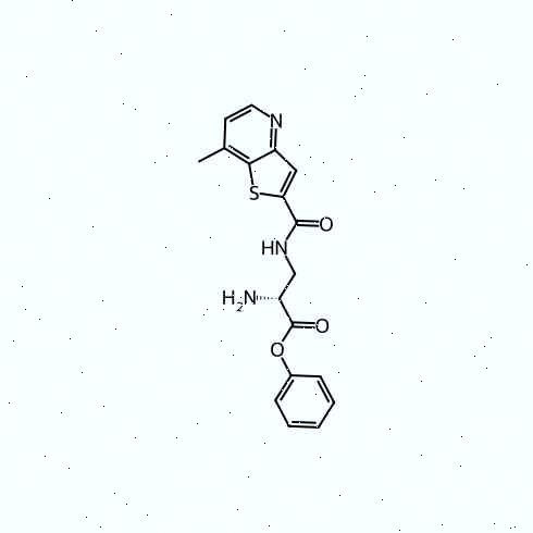 Cc1ccnc2cc(C(=O)NC[C@@H](N)C(=O)Oc3ccccc3)sc12